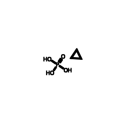 C1CC1.O=P(O)(O)O